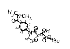 CN(C)C(=O)c1ccc(N2CCO[C@H]([C@@H](O)C(=O)OC(C)(C)C)C2=O)cc1